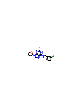 Fc1cccc(CNc2nc(F)nc3c2ncn3C2CCCO2)c1